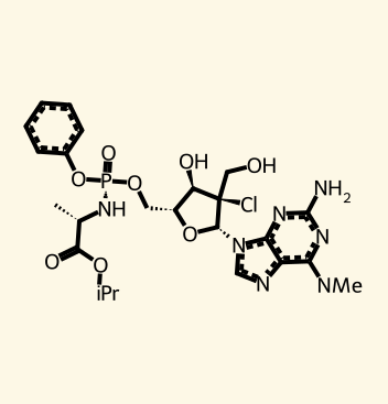 CNc1nc(N)nc2c1ncn2[C@@H]1O[C@H](CO[P@@](=O)(N[C@@H](C)C(=O)OC(C)C)Oc2ccccc2)[C@@H](O)[C@]1(Cl)CO